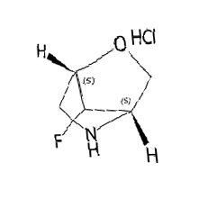 Cl.FC1[C@@H]2CO[C@H]1CN2